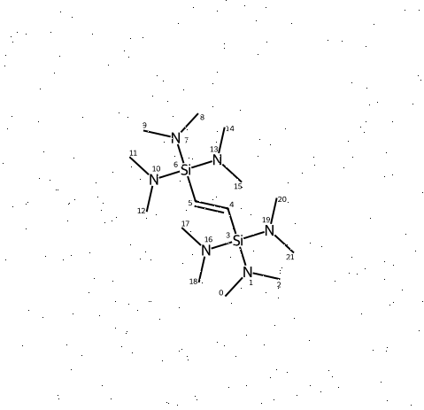 CN(C)[Si](C=C[Si](N(C)C)(N(C)C)N(C)C)(N(C)C)N(C)C